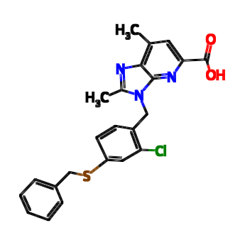 Cc1cc(C(=O)O)nc2c1nc(C)n2Cc1ccc(SCc2ccccc2)cc1Cl